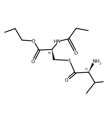 CCCOC(=O)[C@H](CSC(=O)[C@@H](N)C(C)C)NC(=O)CC